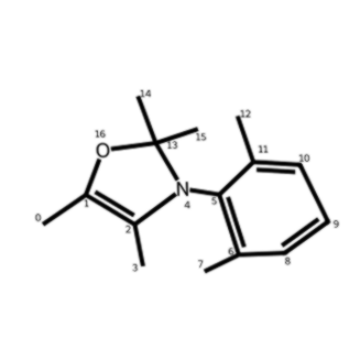 CC1=C(C)N(c2c(C)cccc2C)C(C)(C)O1